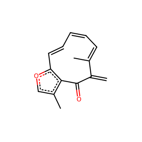 C=C1C(=O)c2c(C)coc2/C=C/C=C\C=C\1C